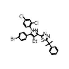 CCc1c(-c2nnc(C(C)(C)c3ccccc3)s2)nn(-c2ccc(Cl)cc2Cl)c1-c1ccc(Br)cc1